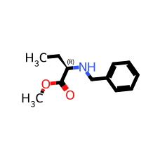 CC[C@@H](NCc1ccccc1)C(=O)OC